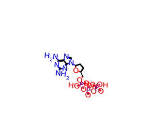 Nc1nc(N)c2ncn([C@H]3CC[C@@H](COP(=O)(O)OP(=O)(O)OP(=O)(O)O)O3)c2n1